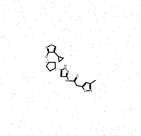 Cc1cc(CC(=O)Nc2cc([C@@H]3CC[C@H](Oc4nscc4C4CC4)C3)[nH]n2)on1